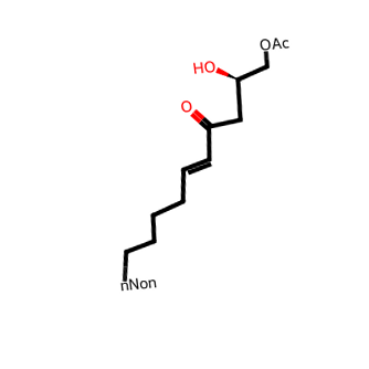 CCCCCCCCCCCCC/C=C/C(=O)C[C@@H](O)COC(C)=O